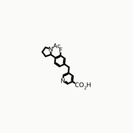 CC(=O)N1CCCC1c1ccc(Cc2cncc(C(=O)O)c2)cc1F